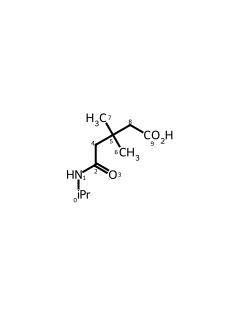 CC(C)NC(=O)CC(C)(C)CC(=O)O